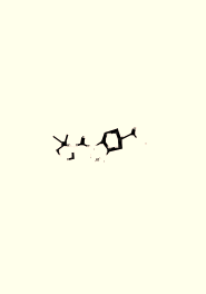 CC1(C)COCN1C(=O)N1NNc2cc(C(=O)O)ccc21